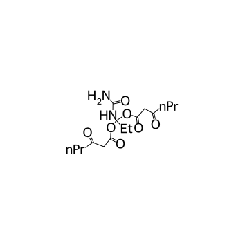 CCCC(=O)CC(=O)OC(CC)(NC(N)=O)OC(=O)CC(=O)CCC